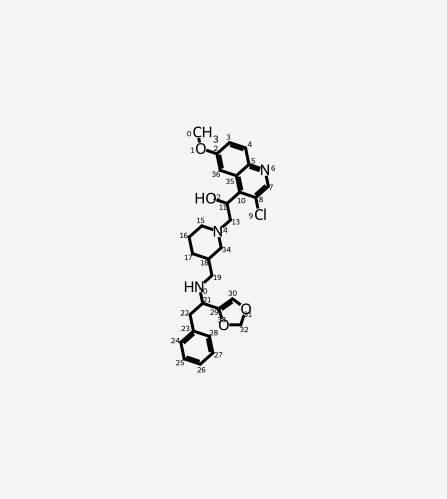 COc1ccc2ncc(Cl)c(C(O)CN3CCCC(CNC(Cc4ccccc4)C4=COCO4)C3)c2c1